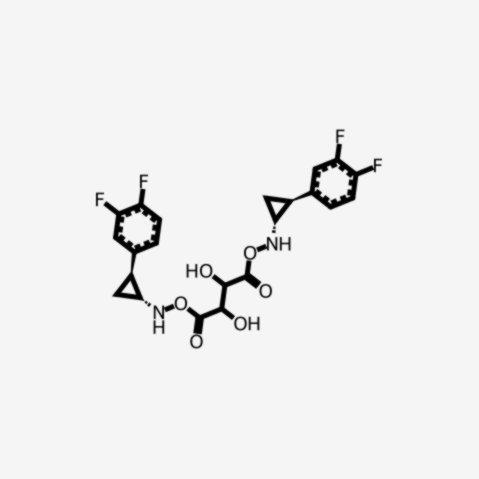 O=C(ON[C@@H]1C[C@H]1c1ccc(F)c(F)c1)C(O)C(O)C(=O)ON[C@@H]1C[C@H]1c1ccc(F)c(F)c1